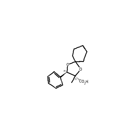 C[C@]1(C(=O)O)OC2(CCCCC2)O[C@@H]1c1ccccc1